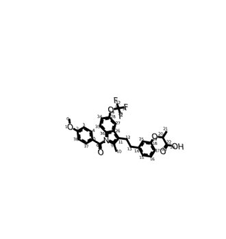 COc1ccc(C(=O)n2c(C)c(CCc3cccc(OC(C)C(=O)O)c3)c3cc(OC(F)(F)F)ccc32)cc1